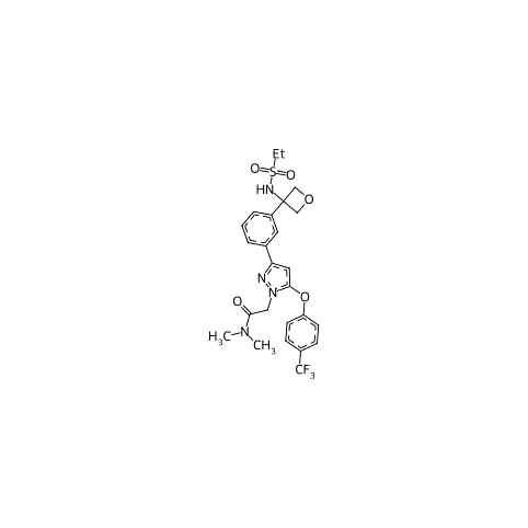 CCS(=O)(=O)NC1(c2cccc(-c3cc(Oc4ccc(C(F)(F)F)cc4)n(CC(=O)N(C)C)n3)c2)COC1